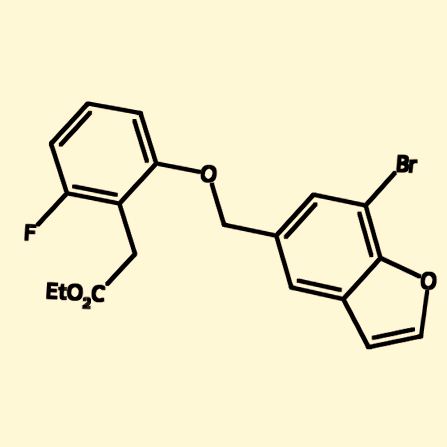 CCOC(=O)Cc1c(F)cccc1OCc1cc(Br)c2occc2c1